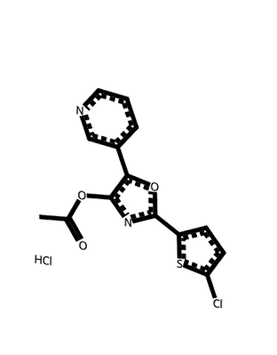 CC(=O)Oc1nc(-c2ccc(Cl)s2)oc1-c1cccnc1.Cl